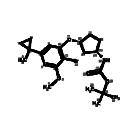 COc1nc(C2(C)CC2)cc(O[C@@H]2CC[C@H](NC(=O)OC(C)(C)C)C2)c1Br